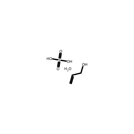 C=CCO.O.O=S(=O)(O)O